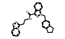 O=C(NCCc1nnc2ccccn12)c1nn(Cc2ccc3c(c2)CCC3)c2ccccc12